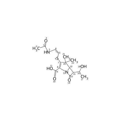 CC(=O)N/C=C\SC1=C(C(=O)O)N2C(=O)C(C(C)O)C2C1(C)C